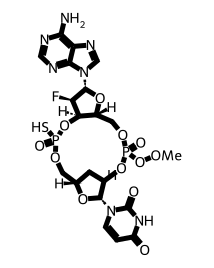 COOP1(=O)OC[C@H]2O[C@@H](n3cnc4c(N)ncnc43)[C@H](F)[C@@H]2OP(=O)(S)OC[C@@H]2C[C@@H](O1)[C@H](n1ccc(=O)[nH]c1=O)O2